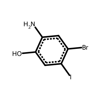 Nc1cc(Br)c(I)cc1O